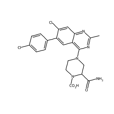 Cc1nc(N2CCN(C(=O)O)C(C(N)=O)C2)c2cc(-c3ccc(Cl)cc3)c(Cl)cc2n1